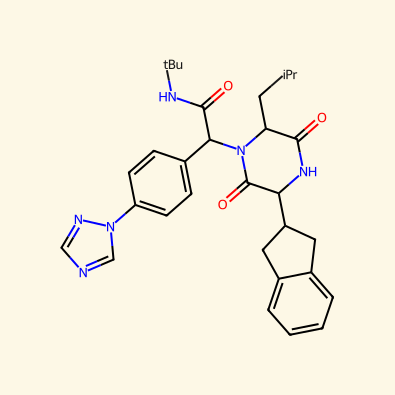 CC(C)CC1C(=O)NC(C2Cc3ccccc3C2)C(=O)N1C(C(=O)NC(C)(C)C)c1ccc(-n2cncn2)cc1